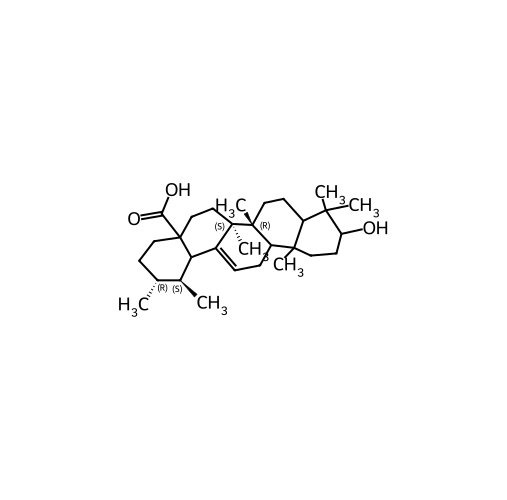 C[C@@H]1CCC2(C(=O)O)CC[C@]3(C)C(=CCC4C5(C)CCC(O)C(C)(C)C5CC[C@]43C)C2[C@H]1C